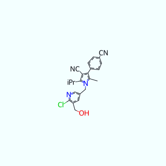 Cc1c(-c2ccc(C#N)cc2)c(C#N)c(C(C)C)n1Cc1cnc(Cl)c(CO)c1